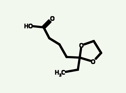 CCC1(CCCC(=O)O)OCCO1